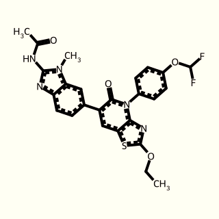 CCOc1nc2c(cc(-c3ccc4nc(NC(C)=O)n(C)c4c3)c(=O)n2-c2ccc(OC(F)F)cc2)s1